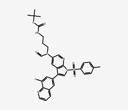 Cc1ccc(S(=O)(=O)n2cc(-c3cc(F)c4ncccc4c3)c3cc(N(C=O)CCCNC(=O)OC(C)(C)C)cnc32)cc1